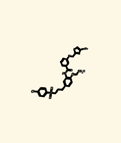 CCCc1csc(COc2cccc(C(=O)Nc3cc(CCCS(=O)(=O)c4ccc(Cl)cc4)ccc3OCC(=O)O)c2)n1